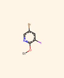 CCOc1ncc(Br)cc1I